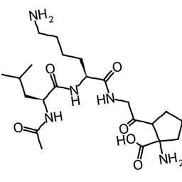 CC(=O)N[C@@H](CC(C)C)C(=O)N[C@@H](CCCCN)C(=O)NCC(=O)C1CCCC1(N)C(=O)O